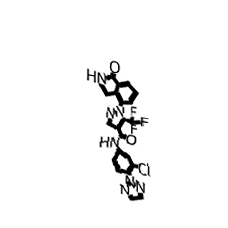 O=C(Nc1ccc(-n2nccn2)c(Cl)c1)c1cnn(-c2cccc3c(=O)[nH]ccc23)c1C(F)(F)F